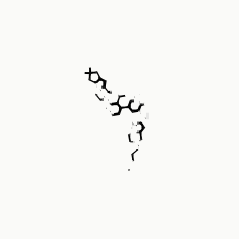 CCc1c(-c2cc(Nc3cc4n(n3)CCN(CCCOC)C4)c(=O)n(C)c2)ccnc1N1CCn2c(cc3c2CC(C)(C)C3)C1=O